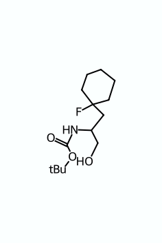 CC(C)(C)OC(=O)NC(CO)CC1(F)CCCCC1